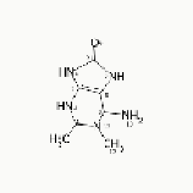 CC1Nc2[nH]c(=O)[nH]c2C(N)N1C